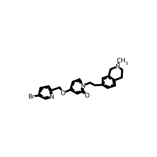 CN1CCc2ccc(CCn3ccc(OCc4ccc(Br)cn4)cc3=O)cc2C1